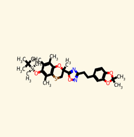 Cc1c(C)c2c(c(C)c1O[Si](C)(C)C(C)(C)C)SCC(C)(c1nc(CCc3ccc4c(c3)OC(C)(C)O4)no1)O2